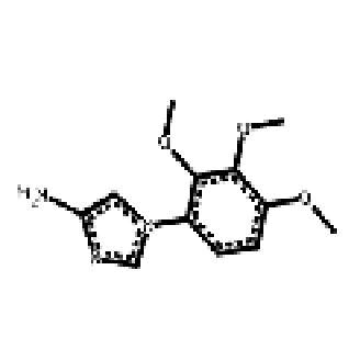 COc1ccc(-n2cnc(N)c2)c(OC)c1OC